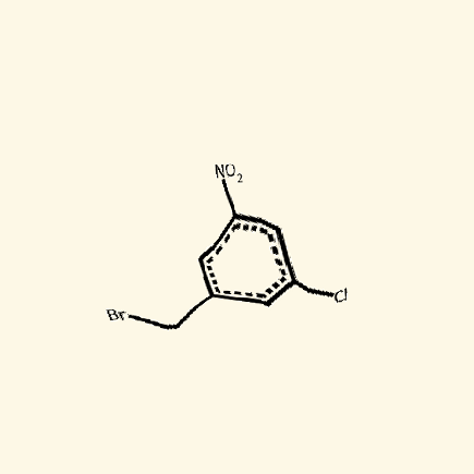 O=[N+]([O-])c1cc(Cl)cc(CBr)c1